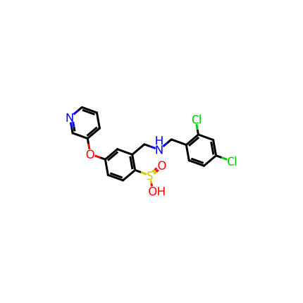 O=S(O)c1ccc(Oc2cccnc2)cc1CNCc1ccc(Cl)cc1Cl